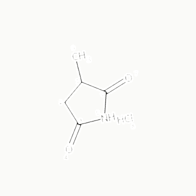 CC1CC(=O)NC1=O.Cl